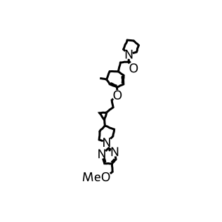 COCc1cnc(N2CCC(C3CC3CCOC3=CC(C)CC(CC(=O)N4CCCCC4)C=C3)CC2)nc1